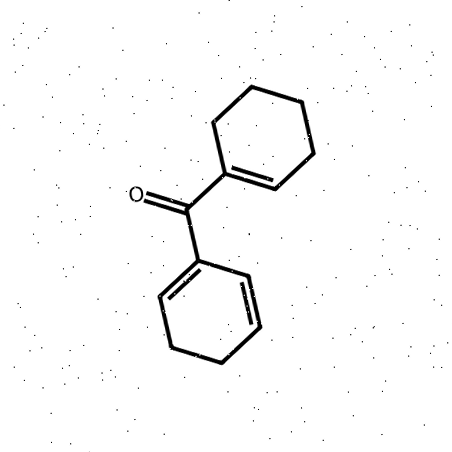 O=C(C1=CCCC=C1)C1=CCCCC1